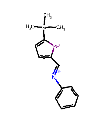 C[Si](C)(C)c1ccc(/C=N/c2ccccc2)[pH]1